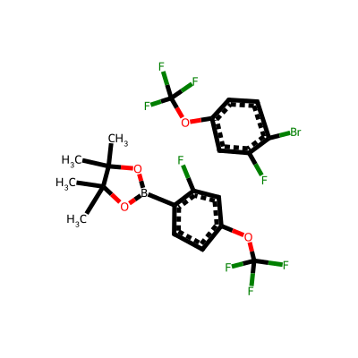 CC1(C)OB(c2ccc(OC(F)(F)F)cc2F)OC1(C)C.Fc1cc(OC(F)(F)F)ccc1Br